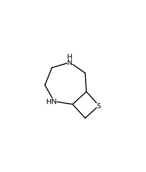 C1CNC2CSC2CN1